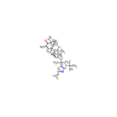 CCCC(C)(C)CC[C@@](C)(CCC(C)(C)[C@]1(C)CC[C@H]2C(C)(C)C(=O)C(C#N)=C[C@]2(C)/C1=C/C(C)=O)c1nnc(C2CC2)o1